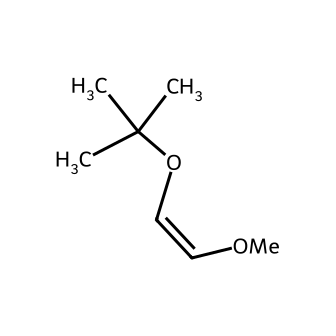 CO/C=C\OC(C)(C)C